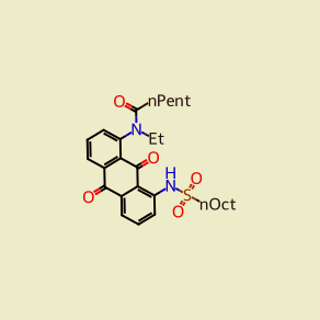 CCCCCCCCS(=O)(=O)Nc1cccc2c1C(=O)c1c(cccc1N(CC)C(=O)CCCCC)C2=O